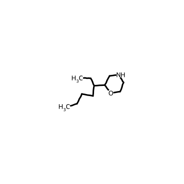 CCCCC(CC)C1CNCCO1